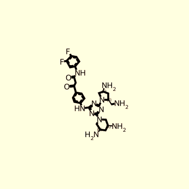 NC[C@@H]1C[C@H](N)CN1c1nc(Nc2ccc(C(=O)CC(=O)Nc3ccc(F)c(F)c3)cc2)nc(N2C[C@H](N)C[C@H](N)C2)n1